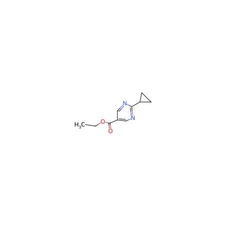 CCOC(=O)c1cnc(C2CC2)nc1